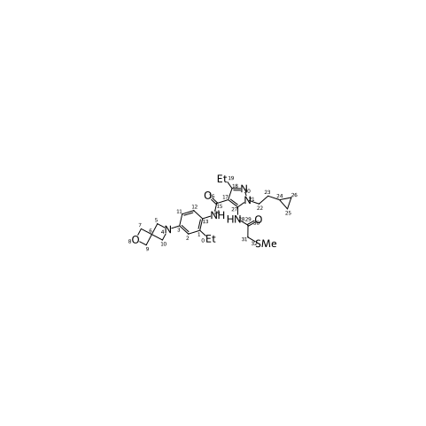 CCc1cc(N2CC3(COC3)C2)ccc1NC(=O)c1c(CC)nn(CCC2CC2)c1NC(=O)CSC